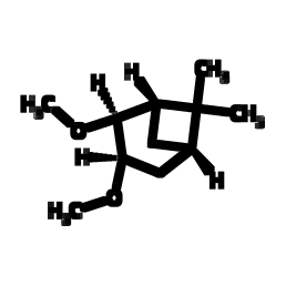 CO[C@H]1[C@H]2C[C@@H](C[C@H]1OC)C2(C)C